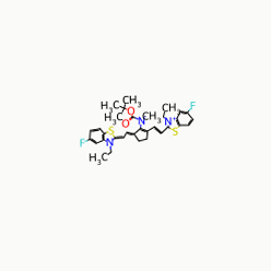 CCN1/C(=C/C=C2\CCC(/C=C/c3sc4ccc(F)cc4[n+]3CC)=C2N(C)C(=O)OC(C)(C)C)Sc2ccc(F)cc21